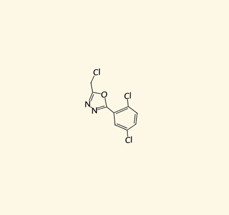 ClCc1nnc(-c2cc(Cl)ccc2Cl)o1